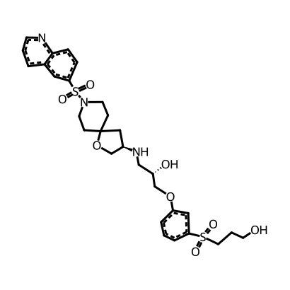 O=S(=O)(CCCO)c1cccc(OC[C@@H](O)CN[C@H]2COC3(CCN(S(=O)(=O)c4ccc5ncccc5c4)CC3)C2)c1